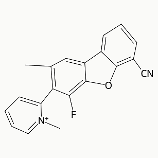 Cc1cc2c(oc3c(C#N)cccc32)c(F)c1-c1cccc[n+]1C